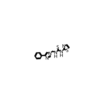 S=C(NCn1cnc(-c2ccccc2)c1)Nc1nccs1